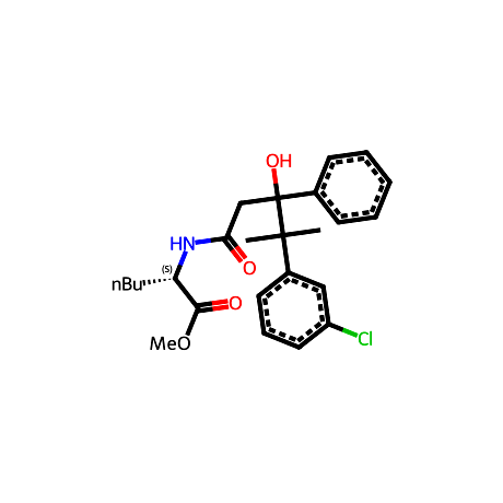 CCCC[C@H](NC(=O)CC(O)(c1ccccc1)C(C)(C)c1cccc(Cl)c1)C(=O)OC